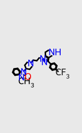 Cn1c(=O)n(C2CCN(CCCn3nc(-c4ccc(C(F)(F)F)cc4)c4c3CCNC4)CC2)c2ccccc21